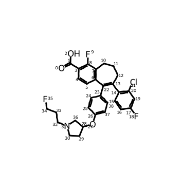 O=C(O)c1ccc2c(c1F)CCCC(c1ccc(F)cc1Cl)=C2c1ccc(OC2CCN(CCCF)C2)cc1